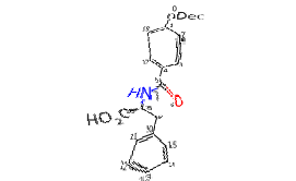 CCCCCCCCCCc1ccc(C(=O)N[C@@H](Cc2ccccc2)C(=O)O)cc1